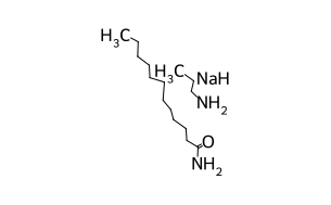 CCCCCCCCCCCC(N)=O.CCCN.[NaH]